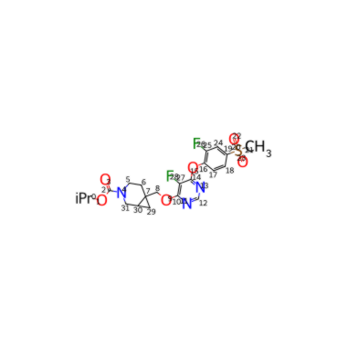 CC(C)OC(=O)N1CCC2(COc3ncnc(Oc4ccc(S(C)(=O)=O)cc4F)c3F)CC2C1